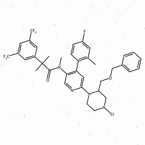 CCN1CCN(c2cc(-c3ccc(F)cc3C)c(N(C)C(=O)C(C)(C)c3cc(C(F)(F)F)cc(C(F)(F)F)c3)cn2)C(COCc2ccccc2)C1